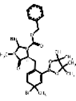 CN1C(=O)[C@H](CC2=CCC(C)(Br)C=C2B2OC(C)(C)C(C)(C)O2)N(C(=O)OCc2ccccc2)C1C(C)(C)C